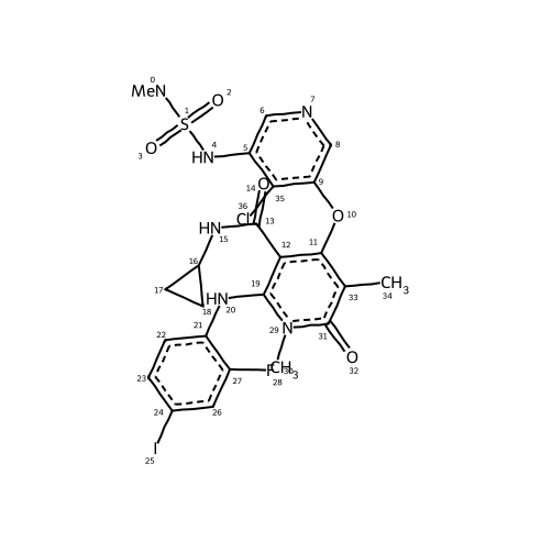 CNS(=O)(=O)Nc1cncc(Oc2c(C(=O)NC3CC3)c(Nc3ccc(I)cc3F)n(C)c(=O)c2C)c1Cl